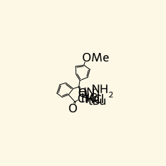 CC(C)(C)NN.COc1ccc(C(=O)c2ccccc2C(=O)Cl)cc1.Cl.Cl